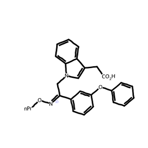 CCCO/N=C(\Cn1cc(CC(=O)O)c2ccccc21)c1cccc(Oc2ccccc2)c1